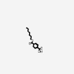 CCCCCCCOC(=O)C1C=CC(C(=O)O)CC1